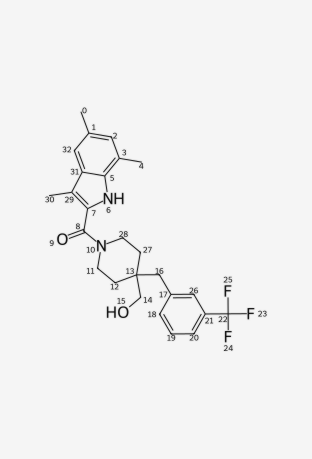 Cc1cc(C)c2[nH]c(C(=O)N3CCC(CO)(Cc4cccc(C(F)(F)F)c4)CC3)c(C)c2c1